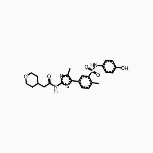 Cc1ccc(-c2sc(NC(=O)CC3CCOCC3)nc2C)cc1S(=O)(=O)Nc1ccc(O)cc1